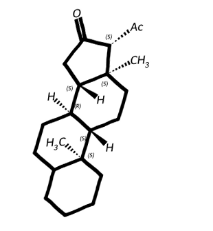 CC(=O)[C@H]1C(=O)C[C@H]2[C@@H]3CCC4CCCC[C@]4(C)[C@H]3CC[C@]12C